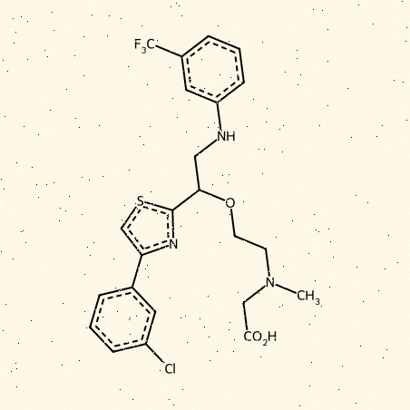 CN(CCOC(CNc1cccc(C(F)(F)F)c1)c1nc(-c2cccc(Cl)c2)cs1)CC(=O)O